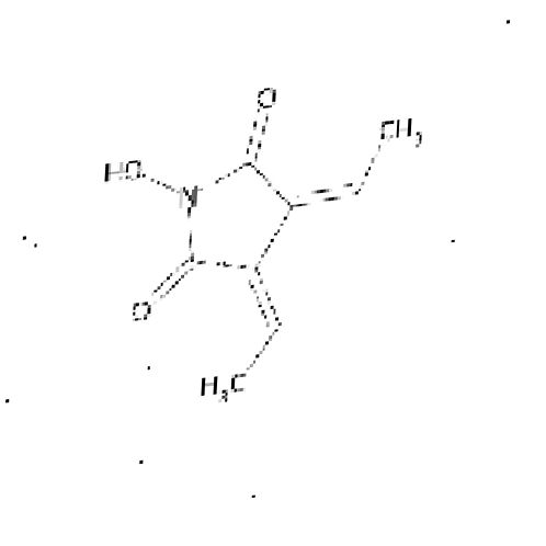 CC=C1C(=O)N(O)C(=O)/C1=C\C